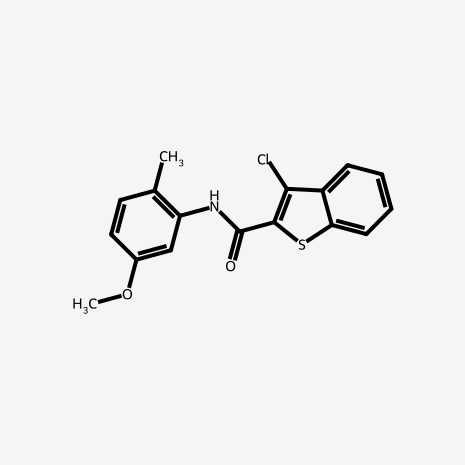 COc1ccc(C)c(NC(=O)c2sc3ccccc3c2Cl)c1